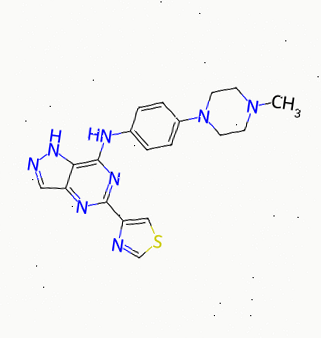 CN1CCN(c2ccc(Nc3nc(-c4cscn4)nc4cn[nH]c34)cc2)CC1